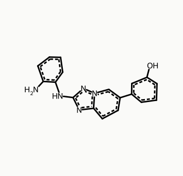 Nc1ccccc1Nc1nc2ccc(-c3cccc(O)c3)cn2n1